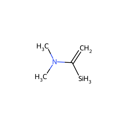 C=C([SiH3])N(C)C